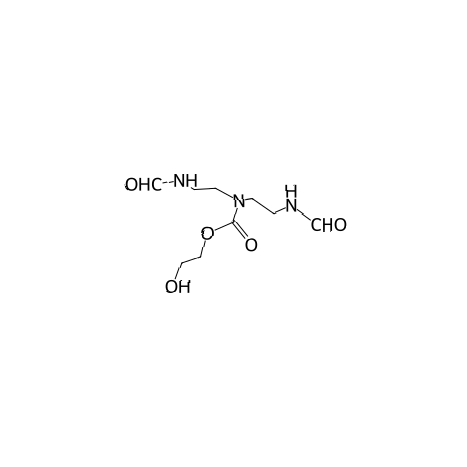 O=CNCCN(CCNC=O)C(=O)OCCO